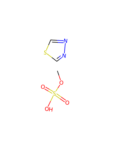 COS(=O)(=O)O.c1nncs1